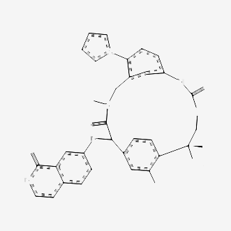 Cc1cc2ccc1[C@@H](C)COC(=O)Nc1ccc(-n3cccc3)c(c1)CN(C)C(=O)[C@@H]2Nc1ccc2cc[nH]c(=O)c2c1